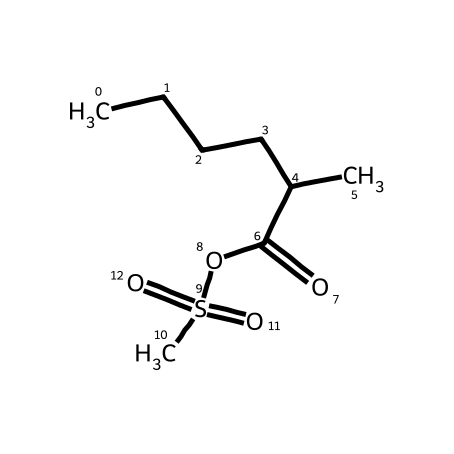 CCCCC(C)C(=O)OS(C)(=O)=O